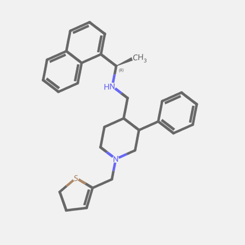 C[C@@H](NCC1CCN(CC2=CCCS2)CC1c1ccccc1)c1cccc2ccccc12